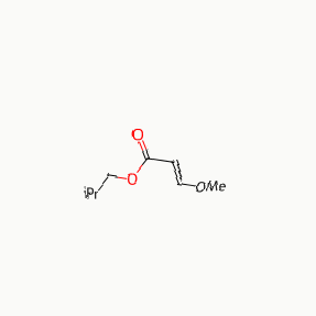 COC=CC(=O)OCC(C)C